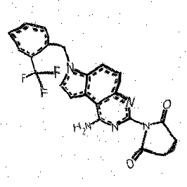 Nc1nc(N2C(=O)CCC2=O)nc2ccc3c(ccn3Cc3ccccc3C(F)(F)F)c12